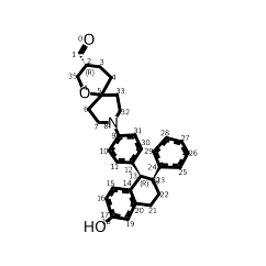 O=C[C@@H]1CCC2(CCN(c3ccc([C@@H]4c5ccc(O)cc5CC[C@@H]4c4ccccc4)cc3)CC2)OC1